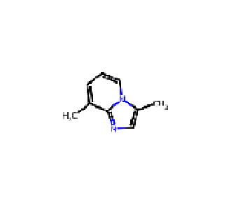 Cc1cccn2c(C)cnc12